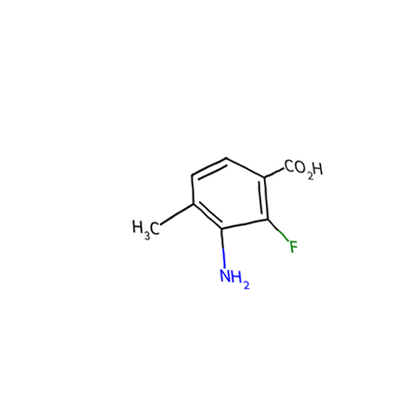 Cc1ccc(C(=O)O)c(F)c1N